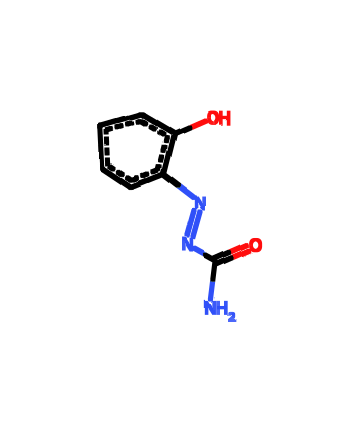 NC(=O)N=Nc1ccccc1O